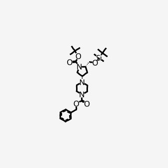 CC(C)(C)OC(=O)N1C[C@@H](N2CCN(C(=O)OCc3ccccc3)CC2)C[C@H]1CO[Si](C)(C)C(C)(C)C